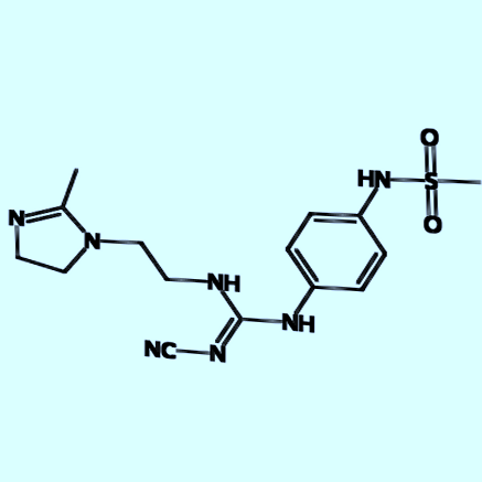 CC1=NCCN1CCN/C(=N\C#N)Nc1ccc(NS(C)(=O)=O)cc1